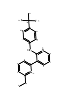 CCc1cccc(-c2cccnc2Oc2ccc(C(C)(F)F)nc2)n1